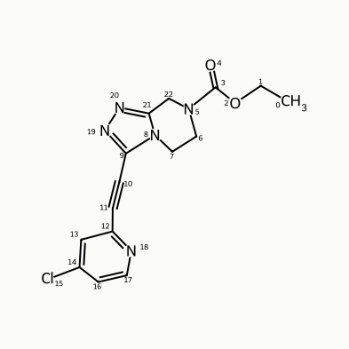 CCOC(=O)N1CCn2c(C#Cc3cc(Cl)ccn3)nnc2C1